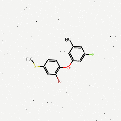 N#Cc1cc(F)cc(Oc2ccc(SC(F)(F)F)cc2Br)c1